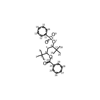 CC(C)(C)C(CC(OS(=O)(=O)c1ccccc1)C(C)(C)C)OC(=O)c1ccccc1